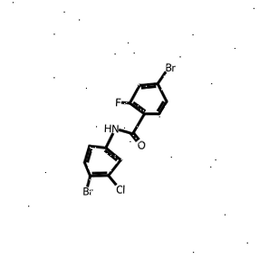 O=C(Nc1ccc(Br)c(Cl)c1)c1ccc(Br)cc1F